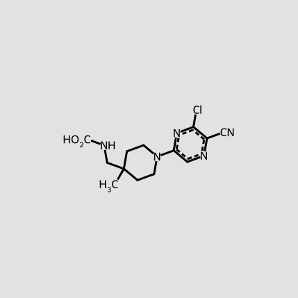 CC1(CNC(=O)O)CCN(c2cnc(C#N)c(Cl)n2)CC1